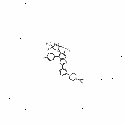 Cc1cc2nc(-c3ccnc(N4CCN(C5CC5)CC4)n3)sc2c(-c2ccc(Cl)cc2)c1[C@H](OC(C)(C)C)C(=O)O